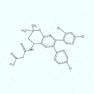 CC(=O)CC(=O)NC1CC(C)(C)Oc2nc(-c3ccc(Cl)cc3Cl)c(-c3ccc(Cl)cc3)cc21